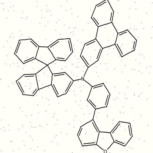 c1cc(-c2cccc3oc4ccccc4c23)cc(N(c2ccc3c(c2)C2(c4ccccc4-c4ccccc42)c2ccccc2-3)c2ccc3c4ccccc4c4ccccc4c3c2)c1